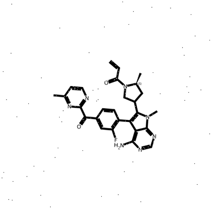 C=CC(=O)N1CC(c2c(-c3ccc(C(=O)c4nccc(C)n4)cc3F)c3c(N)ncnc3n2C)C[C@@H]1C